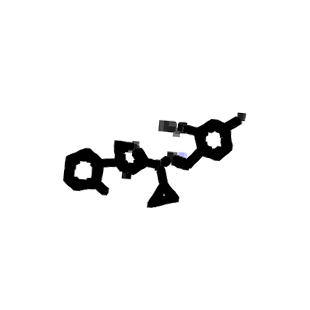 Cc1ccccc1-c1csc(N(/N=C/c2ccc(F)cc2C(=O)O)C2CC2)n1